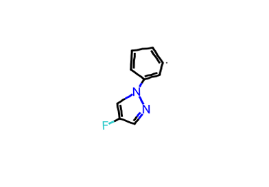 Fc1cnn(-c2c[c]ccc2)c1